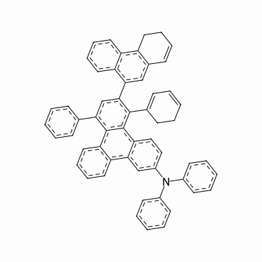 C1=CCCC(c2c(-c3cc4c(c5ccccc35)CCC=C4)cc(-c3ccccc3)c3c4ccccc4c4cc(N(c5ccccc5)c5ccccc5)ccc4c23)=C1